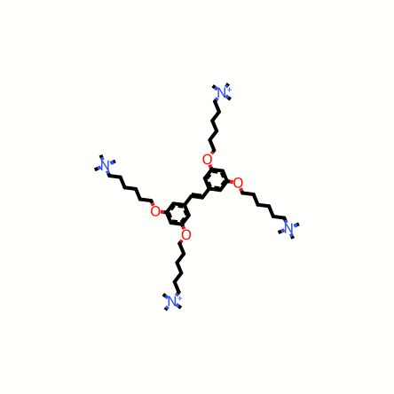 C[N+](C)(C)CCCCCCOc1cc(/C=C/c2cc(OCCCCCC[N+](C)(C)C)cc(OCCCCCC[N+](C)(C)C)c2)cc(OCCCCCC[N+](C)(C)C)c1